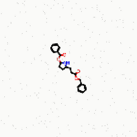 O=C(CCC1C[CH][C](OC(=O)c2ccccc2)N1)OCc1ccccc1